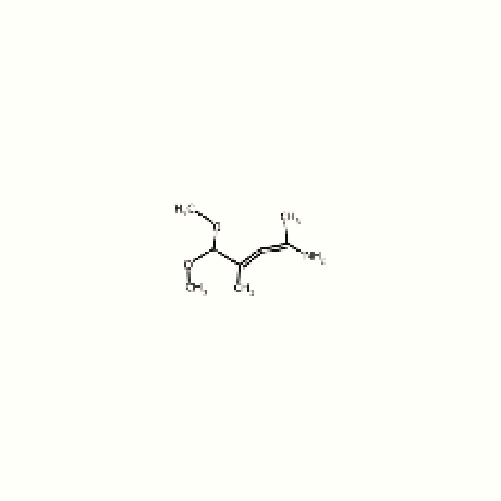 COC(OC)C(C)=C=C(C)N